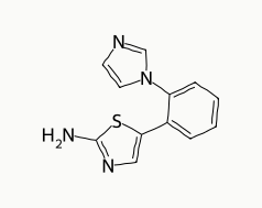 Nc1ncc(-c2ccccc2-n2ccnc2)s1